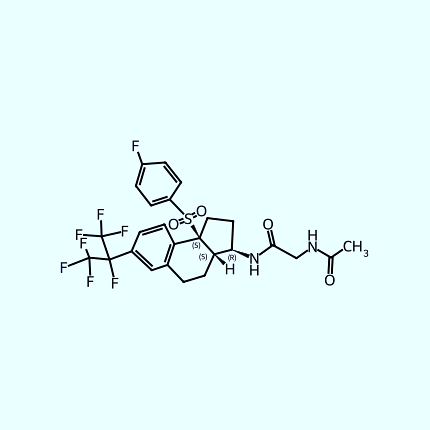 CC(=O)NCC(=O)N[C@@H]1CC[C@@]2(S(=O)(=O)c3ccc(F)cc3)c3ccc(C(F)(C(F)(F)F)C(F)(F)F)cc3CC[C@@H]12